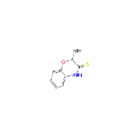 CCCC1Oc2ccccc2NC1=S